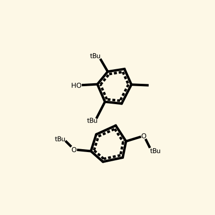 CC(C)(C)Oc1ccc(OC(C)(C)C)cc1.Cc1cc(C(C)(C)C)c(O)c(C(C)(C)C)c1